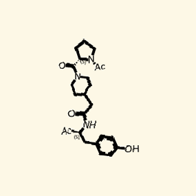 CC(=O)[C@H](Cc1ccc(O)cc1)NC(=O)CC1CCN(C(=O)[C@@H]2CCCN2C(C)=O)CC1